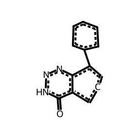 O=c1[nH]nnc2c(-c3ccccc3)cccc12